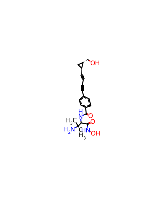 CC(C)(N)C(NC(=O)c1ccc(C#CC#C[C@H]2C[C@@H]2CO)cc1)C(=O)NO